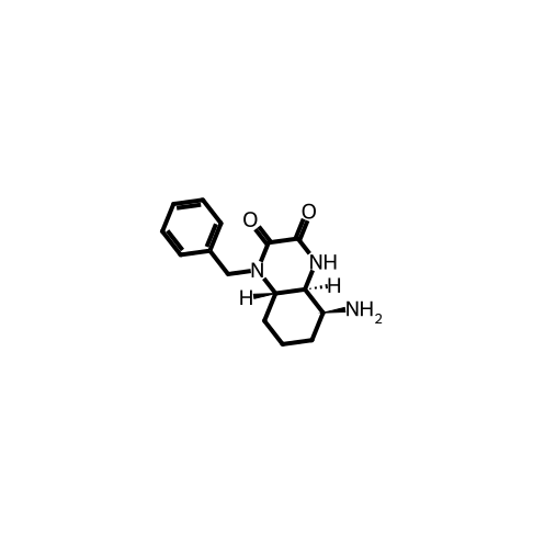 N[C@H]1CCC[C@H]2[C@H]1NC(=O)C(=O)N2Cc1ccccc1